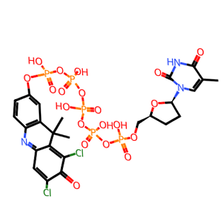 Cc1cn([C@H]2CC[C@@H](COP(=O)(O)OP(=O)(O)OP(=O)(O)OP(=O)(O)OP(=O)(O)Oc3ccc4c(c3)C(C)(C)C3=C(Cl)C(=O)C(Cl)=CC3=N4)O2)c(=O)[nH]c1=O